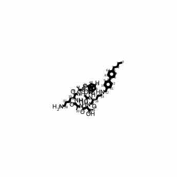 CCCCc1ccc(-c2ccc(CNCCC[C@H](NC(C)=O)C(=O)N[C@H](C(=O)N[C@@H](C)C(=O)N[C@@H](CCCCN)C(=O)N[C@@H](C)B3OC4C[C@@H]5C[C@@H](C5(C)C)[C@]4(C)O3)[C@@H](C)O)cc2)cc1